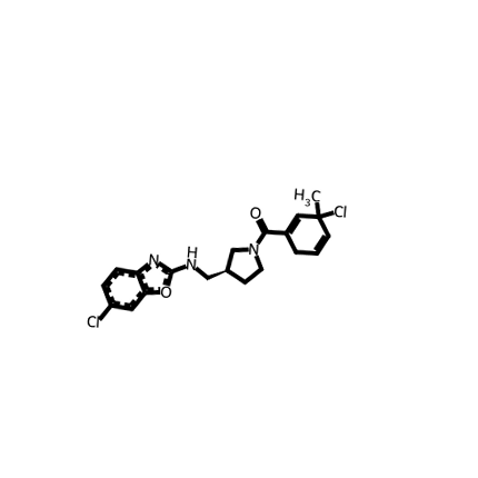 CC1(Cl)C=CCC(C(=O)N2CC[C@@H](CNc3nc4ccc(Cl)cc4o3)C2)=C1